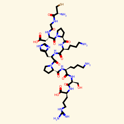 N=C(N)NCCC[C@H](NC(=O)[C@H](CO)NC(=O)[C@H](CCCCN)NC(=O)[C@@H]1CCCN1C(=O)[C@H](Cc1c[nH]cn1)NC(=O)[C@H](CCCCN)NC(=O)[C@@H]1CCCN1C(=O)[C@H](CC(=O)O)NC(=O)CNC(=O)[C@@H](N)CS)C(=O)O